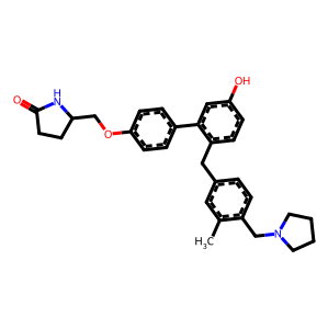 Cc1cc(Cc2ccc(O)cc2-c2ccc(OCC3CCC(=O)N3)cc2)ccc1CN1CCCC1